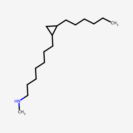 CCCCCCC1CC1CCCCCCCNC